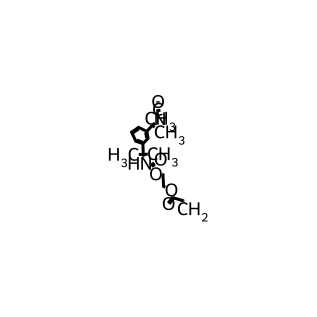 C=CC(=O)OCCOC(=O)NC(C)(C)c1cccc(C(C)(C)N=C=O)c1